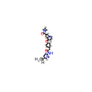 CBc1ccc(NC(=O)Cc2ccc(Oc3ccnc4cc(C(=O)N5CCC5)sc34)cc2)nc1